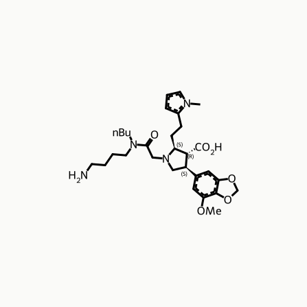 CCCCN(CCCCN)C(=O)CN1C[C@H](c2cc(OC)c3c(c2)OCO3)[C@@H](C(=O)O)[C@@H]1CCc1cccn1C